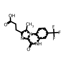 Cc1c(CCC(=O)O)nc2c(=O)[nH]c3cc(C(F)(F)F)ccc3n12